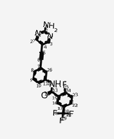 Nc1ncc(C#Cc2cccc(NC(=O)c3cc(C(F)(F)F)ccc3F)c2)cn1